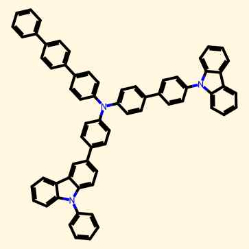 c1ccc(-c2ccc(-c3ccc(N(c4ccc(-c5ccc(-n6c7ccccc7c7ccccc76)cc5)cc4)c4ccc(-c5ccc6c(c5)c5ccccc5n6-c5ccccc5)cc4)cc3)cc2)cc1